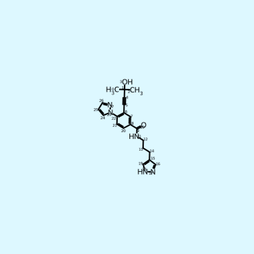 CC(C)(O)C#Cc1cc(C(=O)NCCCc2cn[nH]c2)ccc1-n1cccn1